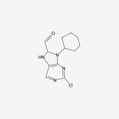 O=CC1Nc2cnc(Cl)nc2N1C1CCCCC1